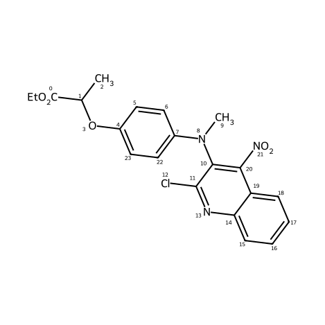 CCOC(=O)C(C)Oc1ccc(N(C)c2c(Cl)nc3ccccc3c2[N+](=O)[O-])cc1